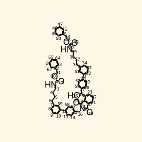 O=C(NCCCCc1cccc(-c2ccc(CN3C(=O)c4cccc(C(O)c5ccc(-c6cccc(CCCCNC(=O)OCc7ccccc7)c6)cc5)c4C3=O)cc2)c1)OCc1ccccc1